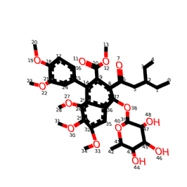 CCC(CC)CC(=O)c1c(C(=O)OC)c(-c2ccc(OC)c(OC)c2)c2c(OC)c(OC)c(OC)cc2c1OC1OC(C)C(O)C(O)C1O